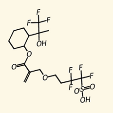 C=C(COCCC(F)(F)C(F)(F)S(=O)(=O)O)C(=O)OC1CCCCC1C(C)(O)C(F)(F)F